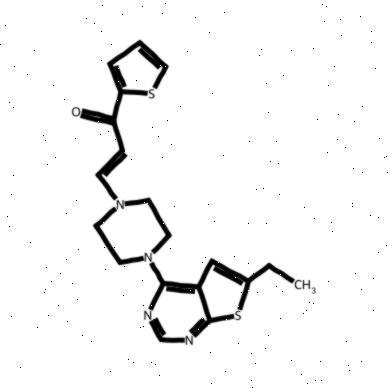 CCc1cc2c(N3CCN(C=CC(=O)c4cccs4)CC3)ncnc2s1